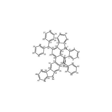 B1c2ccccc2-n2c3ccccc3c3c(C(c4ccccc4)c4ccccc4)cc(-c4cc5c(cc4Nc4ccccc4)sc4ccccc45)c1c32